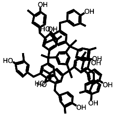 Cc1cc(Cc2cc(C(C)(c3cc(C(C)(c4cc(C)c(O)c(Cc5ccc(O)c(C)c5)c4)c4cc(C)c(O)c(Cc5ccc(O)c(C)c5)c4)cc(C(C)(c4cc(C)c(O)c(Cc5ccc(O)c(C)c5)c4)c4cc(C)c(O)c(Cc5ccc(O)c(C)c5)c4)c3)c3cc(C)c(O)c(Cc4ccc(O)c(C)c4)c3)cc(C)c2O)ccc1O